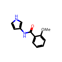 COc1ccccc1C(=O)Nc1cc[nH]c1